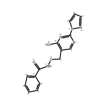 O=C(NOCc1cnc(-n2cccn2)nc1O)c1ccccc1